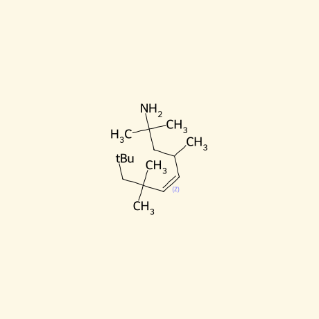 CC(/C=C\C(C)(C)CC(C)(C)C)CC(C)(C)N